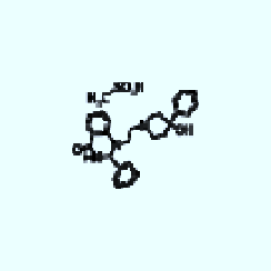 CS(=O)(=O)O.O=C1NC(c2ccccc2)N(CCN2CCC(O)(c3ccccc3)CC2)c2ccccc21